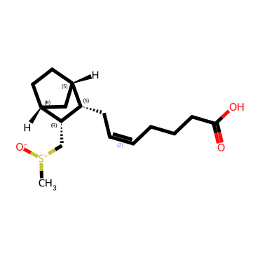 C[S+]([O-])C[C@@H]1[C@@H]2CC[C@@H](C2)[C@@H]1C/C=C\CCCC(=O)O